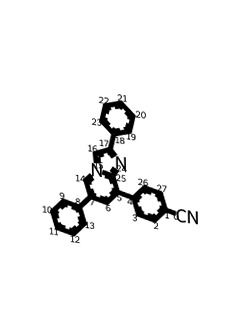 N#Cc1ccc(-c2cc(-c3ccccc3)cn3cc(-c4ccccc4)nc23)cc1